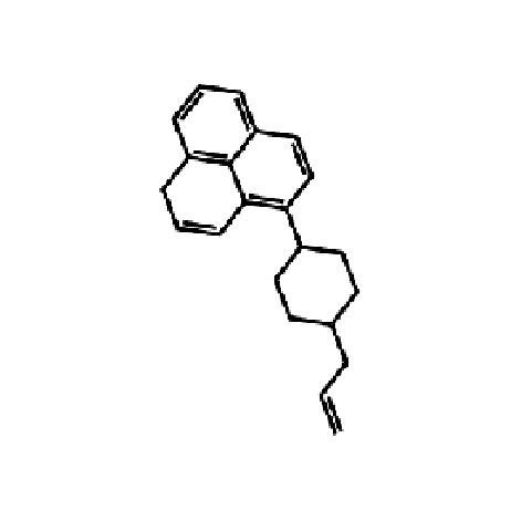 C=CCC1CCC(c2ccc3cccc4c3c2C=CC4)CC1